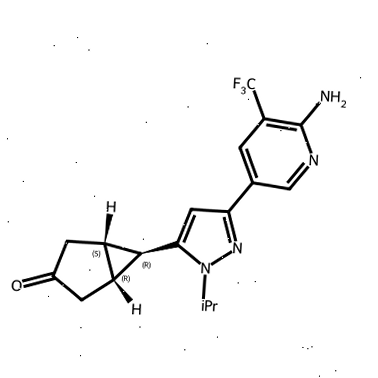 CC(C)n1nc(-c2cnc(N)c(C(F)(F)F)c2)cc1[C@H]1[C@@H]2CC(=O)C[C@@H]21